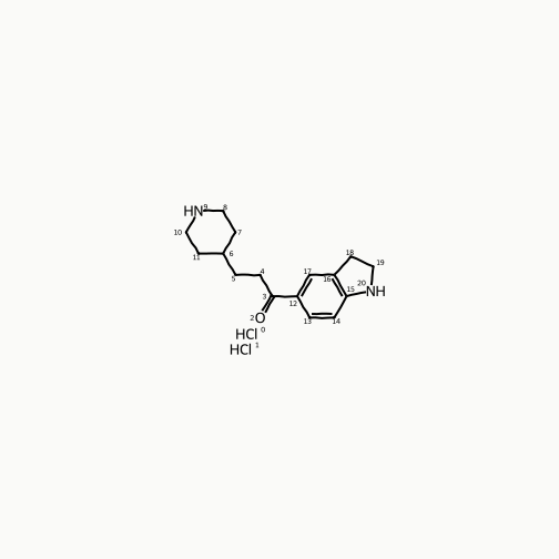 Cl.Cl.O=C(CCC1CCNCC1)c1ccc2c(c1)CCN2